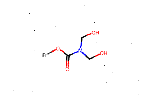 CC(C)OC(=O)N(CO)CO